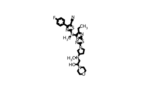 CCc1nc2sc(N3CCC(N(C)CC(O)N4CCOCC4)C3)nn2c1N(C)c1nc(-c2ccc(F)cc2)c(C#N)s1